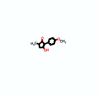 COc1ccc(C2=C(O)CC(C)C2=O)cc1